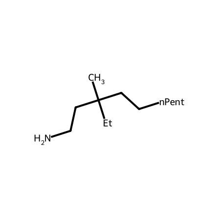 CCCCCCCC(C)(CC)CCN